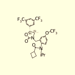 CC(C)CN(C(=O)C1CCC1)c1ccc(OC(F)(F)F)cc1CN1C(=O)O[C@H](c2cc(C(F)(F)F)cc(C(F)(F)F)c2)[C@@H]1C